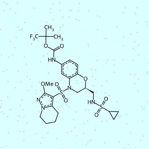 COc1nn2c(c1S(=O)(=O)N1C[C@H](CNS(=O)(=O)C3CC3)Oc3ccc(NC(=O)OC(C)(C)C(F)(F)F)cc31)CCCC2